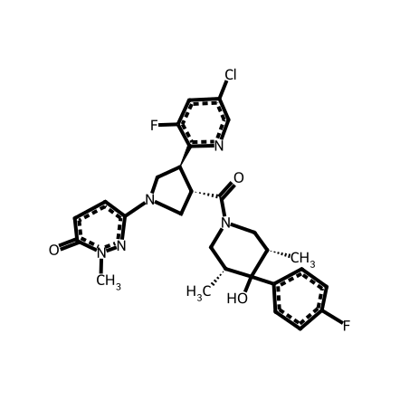 C[C@@H]1CN(C(=O)[C@@H]2CN(c3ccc(=O)n(C)n3)C[C@H]2c2ncc(Cl)cc2F)C[C@H](C)C1(O)c1ccc(F)cc1